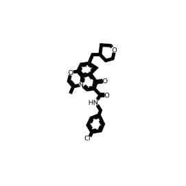 CC1=COc2cc(CC3CCOCC3)cc3c(=O)c(C(=O)NCc4ccc(Cl)cc4)cn1c23